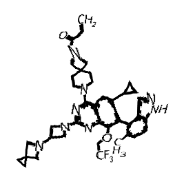 C=CC(=O)N1CC2(CCN(c3nc(N4CC(N5CC6(CC6)C5)C4)nc4c(OCC(F)(F)F)c(-c5c(C)ccc6[nH]ncc56)c(C5CC5)cc34)CC2)C1